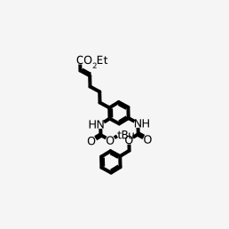 CCOC(=O)C=CCCCc1ccc(NC(=O)OCc2ccccc2)cc1NC(=O)OC(C)(C)C